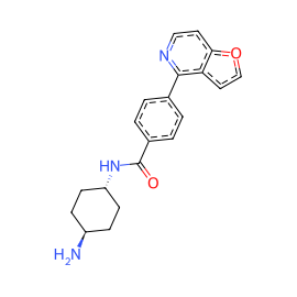 N[C@H]1CC[C@H](NC(=O)c2ccc(-c3nccc4occc34)cc2)CC1